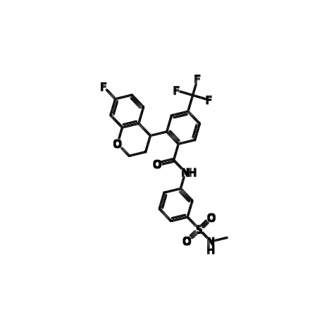 CNS(=O)(=O)c1cccc(NC(=O)c2ccc(C(F)(F)F)cc2C2CCOc3cc(F)ccc32)c1